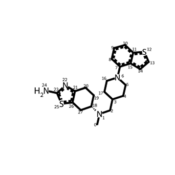 CN(CC1CCN(c2cccc3sccc23)CC1)[C@H]1CCc2nc(N)sc2C1